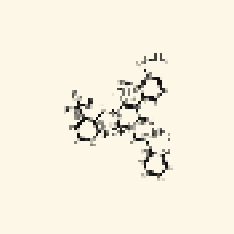 COc1cccc(C2=C(C)N(Cc3c(F)cccc3C(F)(F)F)C(O)N(C[C@H](N)c3ccccc3)C2=O)c1F